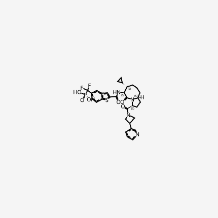 O=C(N[C@@H]1C(=O)N2[C@@H](CCC[C@H]1C1CC1)CC[C@H]2C(=O)N1CC(c2cccnc2)C1)c1cc2cc(C(F)(F)P(=O)(O)O)ccc2s1